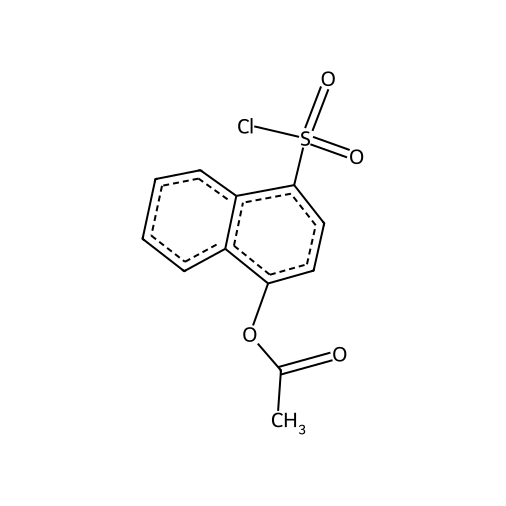 CC(=O)Oc1ccc(S(=O)(=O)Cl)c2ccccc12